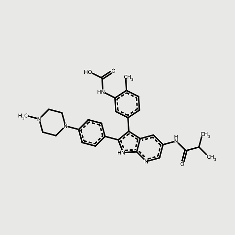 Cc1ccc(-c2c(-c3ccc(N4CCN(C)CC4)cc3)[nH]c3ncc(NC(=O)C(C)C)cc23)cc1NC(=O)O